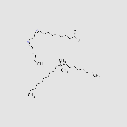 CCCCC/C=C\C/C=C\CCCCCCCC(=O)[O-].CCCCCCCCCC[N+](C)(C)CCCCCCCC